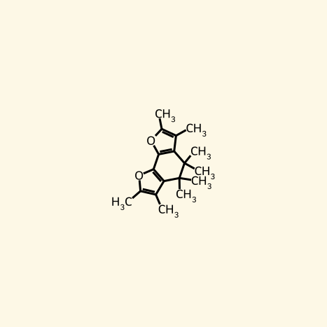 Cc1oc2c(c1C)C(C)(C)C(C)(C)c1c-2oc(C)c1C